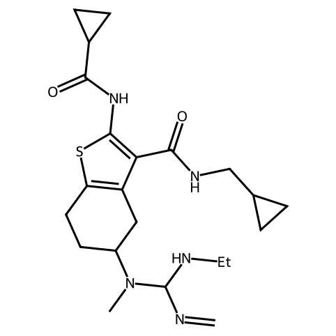 C=NC(NCC)N(C)C1CCc2sc(NC(=O)C3CC3)c(C(=O)NCC3CC3)c2C1